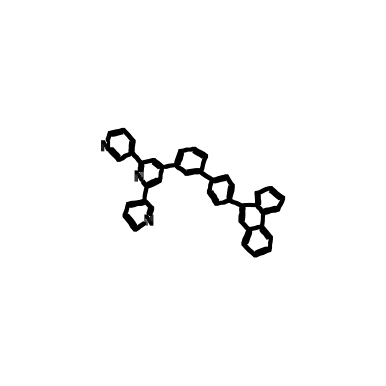 c1cc(-c2ccc(-c3cc4ccccc4c4ccccc34)cc2)cc(-c2cc(-c3cccnc3)nc(-c3cccnc3)c2)c1